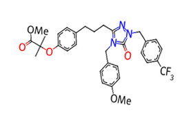 COC(=O)C(C)(C)Oc1ccc(CCCc2nn(Cc3ccc(C(F)(F)F)cc3)c(=O)n2Cc2ccc(OC)cc2)cc1